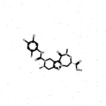 CNC(=O)[C@@H]1Cn2nc3c(c2C(=O)N(C)O1)CN(C(=O)Nc1cc(Cl)c(F)cc1F)[C@H](C)C3